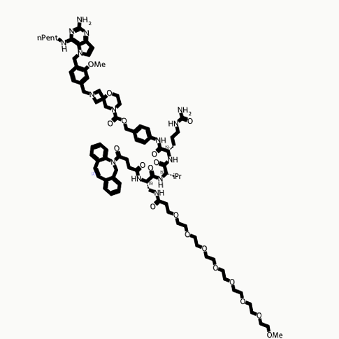 CCCCCNc1nc(N)nc2ccn(Cc3ccc(CN4CC5(C4)CN(C(=O)OCc4ccc(NC(=O)[C@H](CCCNC(N)=O)NC(=O)[C@@H](NC(=O)[C@H](CNC(=O)CCOCCOCCOCCOCCOCCOCCOCCOC)NC(=O)CCC(=O)N6Cc7ccccc7/C=C\c7ccccc76)C(C)C)cc4)CCO5)cc3OC)c12